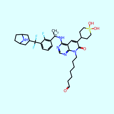 C[C@@H](Nc1ncnc2c1cc(C1CCS(O)(O)CC1)c(=O)n2CCCCCCC=O)c1cccc(C(F)(F)C2CC3CCC(C2)N3)c1F